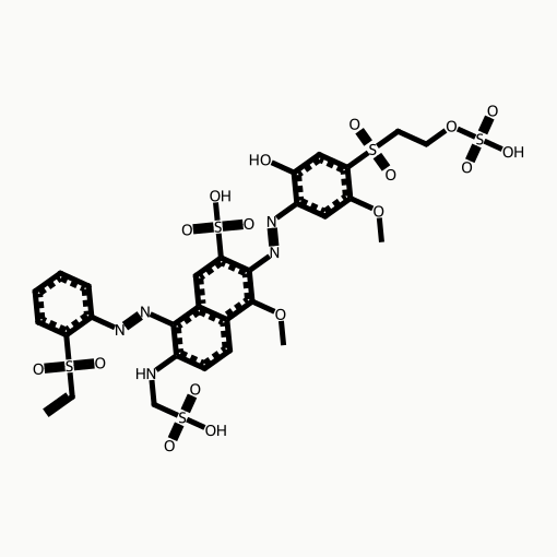 C=CS(=O)(=O)c1ccccc1/N=N/c1c(NCS(=O)(=O)O)ccc2c(OC)c(/N=N/c3cc(OC)c(S(=O)(=O)CCOS(=O)(=O)O)cc3O)c(S(=O)(=O)O)cc12